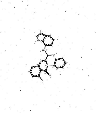 CCC(Nc1ccnc2[nH]cnc12)c1nc2cccc(F)c2c(=O)n1-c1ccccc1